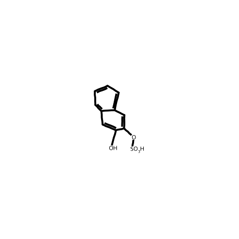 O=S(=O)(O)Oc1cc2ccccc2cc1O